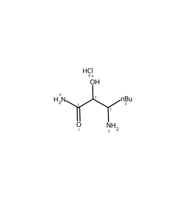 CCCCC(N)C(O)C(N)=O.Cl